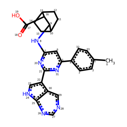 Cc1ccc(-c2cc(NC3C4CCC(CC4)C3C(=O)O)nc(-c3c[nH]c4ncncc34)n2)cc1